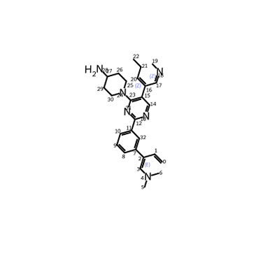 C=C/C(=C\N(C)C)c1cccc(-c2ncc(C(/C=N\C)=C/CC)c(N3CCC(N)CC3)n2)c1